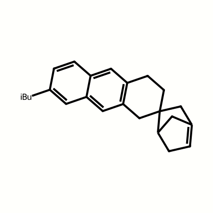 CCC(C)c1ccc2cc3c(cc2c1)CC1(CC3)CC2=CCC1C2